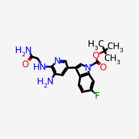 CC(C)(C)OC(=O)n1cc(-c2cnc(NCC(N)=O)c(N)c2)c2ccc(F)cc21